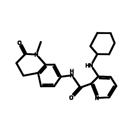 CN1C(=O)CCc2ccc(NC(=O)c3ncccc3NC3CCCCC3)cc21